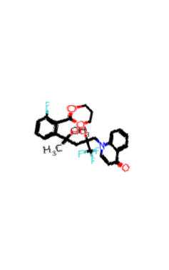 CC(C)(CC(O)(Cn1ccc(=O)c2ccccc21)C(F)(F)F)c1cccc(F)c1C1OCCCO1